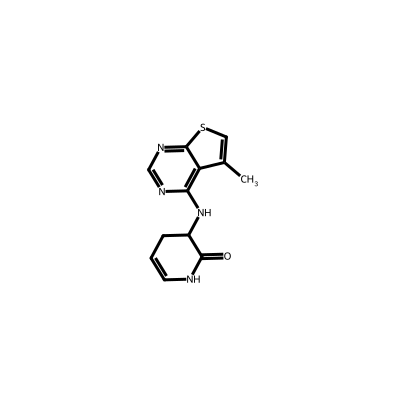 Cc1csc2ncnc(NC3CC=CNC3=O)c12